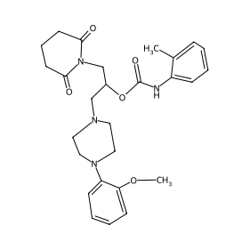 COc1ccccc1N1CCN(CC(CN2C(=O)CCCC2=O)OC(=O)Nc2ccccc2C)CC1